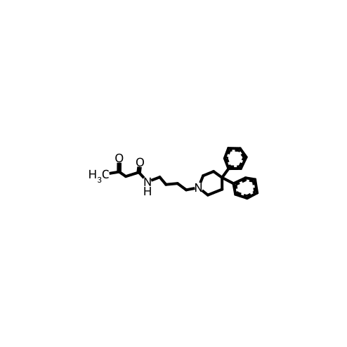 CC(=O)CC(=O)NCCCCN1CCC(c2ccccc2)(c2ccccc2)CC1